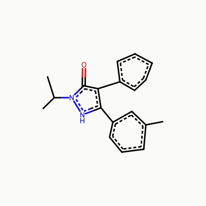 Cc1cccc(-c2[nH]n(C(C)C)c(=O)c2-c2ccccc2)c1